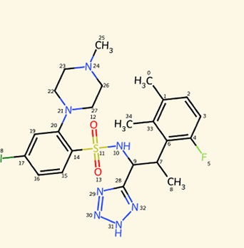 Cc1ccc(F)c(C(C)C(NS(=O)(=O)c2ccc(Cl)cc2N2CCN(C)CC2)c2nn[nH]n2)c1C